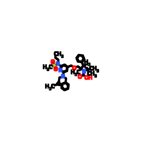 CCCN(c1cc(COCC(C)(Cc2ccccc2)N(C(=O)O)C(C)(C)C)cc(N(Cc2ccccc2)CC2CC2C)n1)S(C)(=O)=O